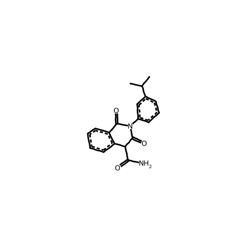 CC(C)c1cccc(N2C(=O)c3ccccc3C(C(N)=O)C2=O)c1